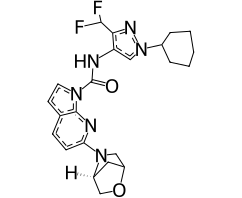 O=C(Nc1cn(C2CCCCC2)nc1C(F)F)n1ccc2ccc(N3CC4C[C@H]3CO4)nc21